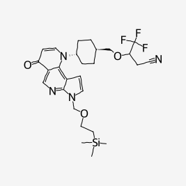 C[Si](C)(C)CCOCn1ccc2c1ncc1c(=O)ccn([C@H]3CC[C@H](COC(CC#N)C(F)(F)F)CC3)c12